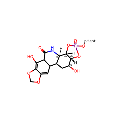 CCCCCCCOP1(=O)O[C@@H]2[C@H](O1)[C@@H](O)CC1C3C=C4OCOC4=C(O)C3C(=O)N[C@H]12